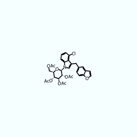 CC(=O)OC[C@H]1O[C@@H](n2cc(Cc3ccc4occc4c3)c3c(Cl)cccc32)[C@H](OC(C)=O)[C@@H](OC(C)=O)[C@@H]1OC(C)=O